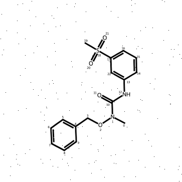 CN(OCc1ccccc1)C(=O)Nc1cccc(S(C)(=O)=O)c1